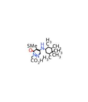 CSc1c(N[C@@H]2C[C@H](C)C(C)(C)[C@H](C)[C@H]2C)cnn(CC(=O)O)c1=O